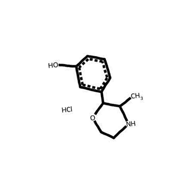 CC1NCCOC1c1cccc(O)c1.Cl